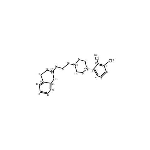 Clc1cccc(N2CCN(CCCN3CCc4ccccc4C3)CC2)c1Cl